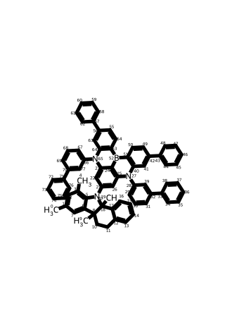 Cc1cc(C)c2c(c1)C1(C)CCc3ccccc3C1(C)N2c1cc2c3c(c1)N(c1cccc(-c4ccccc4)c1)c1cc(-c4ccccc4)ccc1B3c1ccc(-c3ccccc3)cc1N2c1cccc(-c2ccccc2)c1